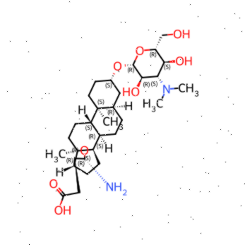 CN(C)[C@@H]1[C@@H](O)[C@H](O[C@H]2CC[C@@]3(C)[C@H](CC[C@@H]4[C@@H]3CC[C@]3(C)[C@@H]5CC[C@]43O[C@H](N)[C@@H]5CC(=O)O)C2)O[C@H](CO)[C@H]1O